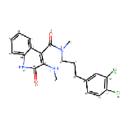 CNc1c(C(=O)N(C)CCCc2ccc(Cl)c(Cl)c2)c2ccccc2[nH]c1=O